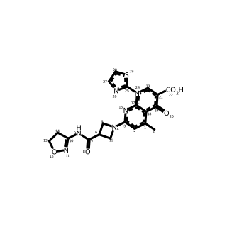 Cc1cc(N2CC(C(=O)NC3=NOCC3)C2)nc2c1c(=O)c(C(=O)O)cn2-c1nccs1